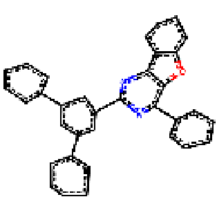 c1ccc(-c2cc(-c3ccccc3)cc(-c3nc(-c4ccccc4)c4oc5ccccc5c4n3)c2)cc1